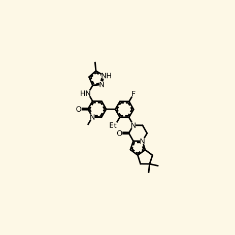 CCc1c(-c2cc(Nc3cc(C)[nH]n3)c(=O)n(C)c2)cc(F)cc1N1CCn2c(cc3c2CC(C)(C)C3)C1=O